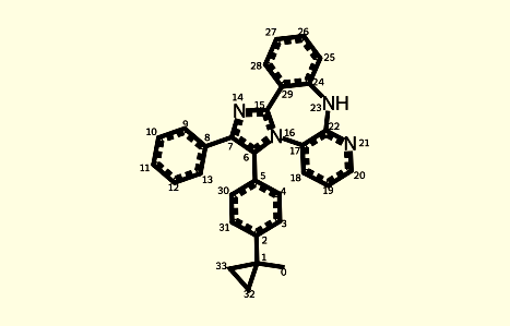 CC1(c2ccc(-c3c(-c4ccccc4)nc4n3-c3cccnc3Nc3ccccc3-4)cc2)CC1